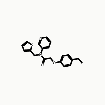 CCc1ccc(OCC(=O)N(Cc2cccs2)c2cccnc2)cc1